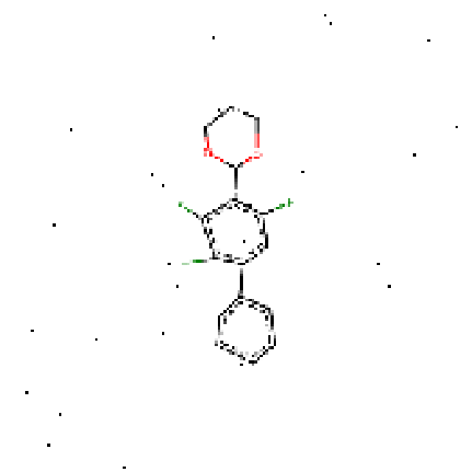 Fc1cc(-c2ccccc2)c(F)c(F)c1C1OCCCO1